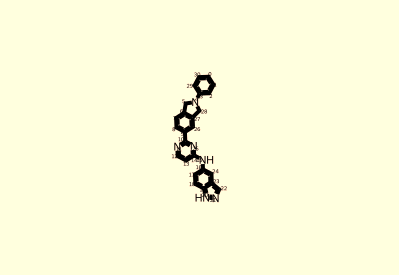 c1ccc(N2Cc3ccc(-c4nccc(Nc5ccc6[nH]ncc6c5)n4)cc3C2)cc1